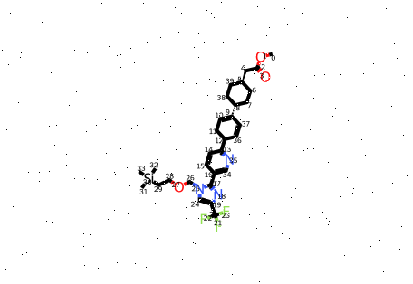 COC(=O)C[C@H]1CC[C@H](C2=CCC(c3ccc(-c4nc(C(F)(F)F)cn4COCC[Si](C)(C)C)cn3)C=C2)CC1